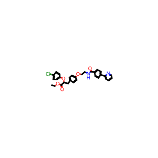 CCOC(=O)C(Cc1ccc(OCCNC(=O)c2ccc(-c3ccccn3)cc2)cc1)Oc1ccc(Cl)cc1